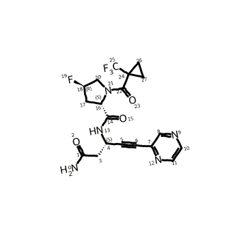 NC(=O)C[C@@H](C#Cc1cnccn1)NC(=O)[C@@H]1C[C@@H](F)CN1C(=O)C1(C(F)(F)F)CC1